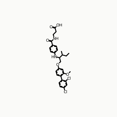 CCC(C)C(COc1ccc(-c2ccc(Cl)cc2Cl)c(OC)c1)Nc1ccc(C(=O)NCCC(=O)O)cc1